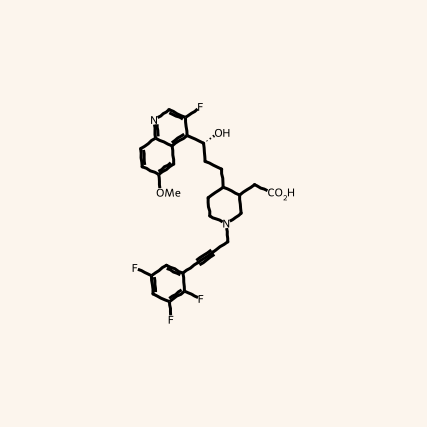 COc1ccc2ncc(F)c([C@H](O)CCC3CCN(CC#Cc4cc(F)cc(F)c4F)CC3CC(=O)O)c2c1